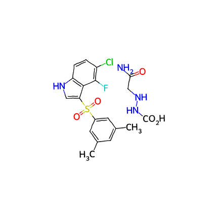 Cc1cc(C)cc(S(=O)(=O)c2c[nH]c3ccc(Cl)c(F)c23)c1.NC(=O)CNNC(=O)O